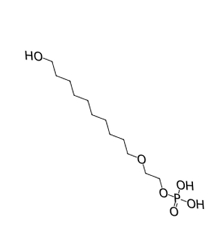 O=P(O)(O)OCCOCCCCCCCCCCO